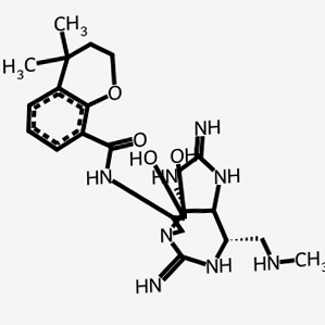 CNC[C@@H]1NC(=N)N2CC(NC(=O)c3cccc4c3OCCC4(C)C)C(O)(O)[C@@]23NC(=N)NC13